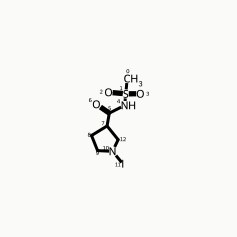 CS(=O)(=O)NC(=O)C1CCN(I)C1